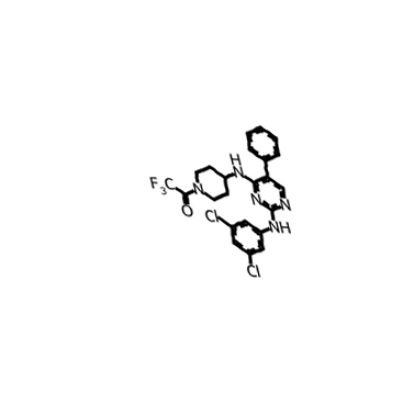 O=C(N1CCC(Nc2nc(Nc3cc(Cl)cc(Cl)c3)ncc2-c2ccccc2)CC1)C(F)(F)F